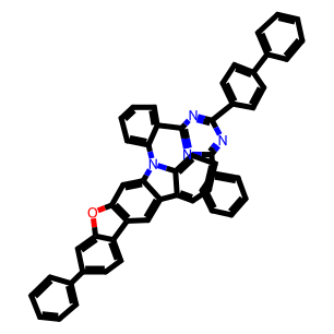 c1ccc(-c2ccc(-c3nc(-c4ccccc4)nc(-c4ccccc4-n4c5ccccc5c5cc6c(cc54)oc4cc(-c5ccccc5)ccc46)n3)cc2)cc1